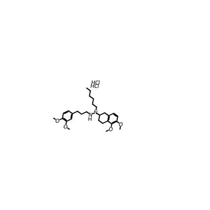 CCCCCCN(NCCCc1ccc(OC)c(OC)c1)C1CCc2c(ccc(OC)c2OC)C1.Cl.Cl